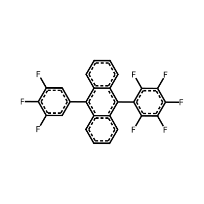 Fc1cc(-c2c3ccccc3c(-c3c(F)c(F)c(F)c(F)c3F)c3ccccc23)cc(F)c1F